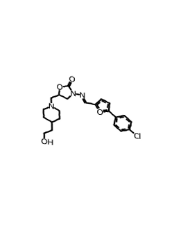 O=C1OC(CN2CCC(CCO)CC2)CN1N=Cc1ccc(-c2ccc(Cl)cc2)o1